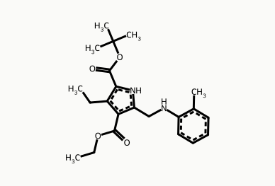 CCOC(=O)c1c(CNc2ccccc2C)[nH]c(C(=O)OC(C)(C)C)c1CC